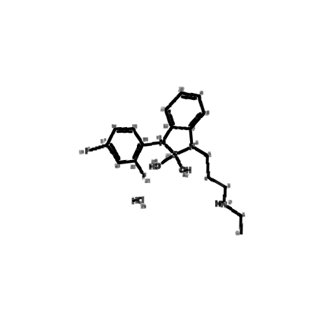 CCNCCCN1c2ccccc2N(c2ccc(F)cc2F)S1(O)O.Cl